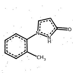 Cc1ccccc1-n1ccc(=O)[nH]1